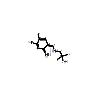 CC1=C/C(=C/NCC(C)(C)O)C(=N)C=C1F